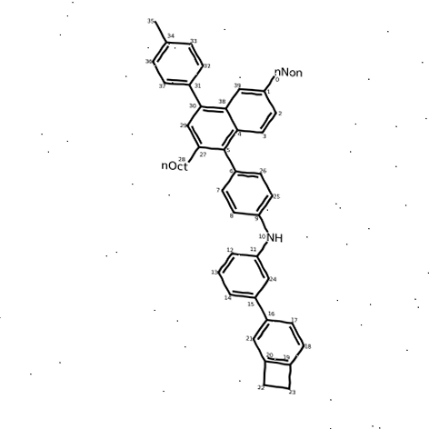 CCCCCCCCCc1ccc2c(-c3ccc(Nc4cccc(-c5ccc6c(c5)CC6)c4)cc3)c(CCCCCCCC)cc(-c3ccc(C)cc3)c2c1